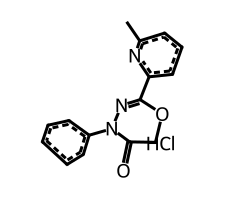 Cc1cccc(C2=NN(c3ccccc3)C(=O)CO2)n1.Cl